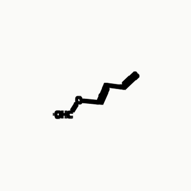 C=CC=CO[C]=O